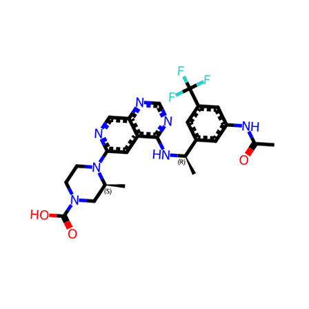 CC(=O)Nc1cc([C@@H](C)Nc2ncnc3cnc(N4CCN(C(=O)O)C[C@@H]4C)cc23)cc(C(F)(F)F)c1